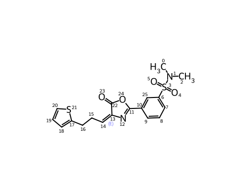 CN(C)S(=O)(=O)c1cccc(C2=N/C(=C/CCc3cccs3)C(=O)O2)c1